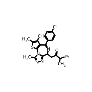 Cc1sc2c(c1C)C(c1ccc(Cl)cc1)=NC(CC(=O)C(C)C(C)C)c1nnc(C)n1-2